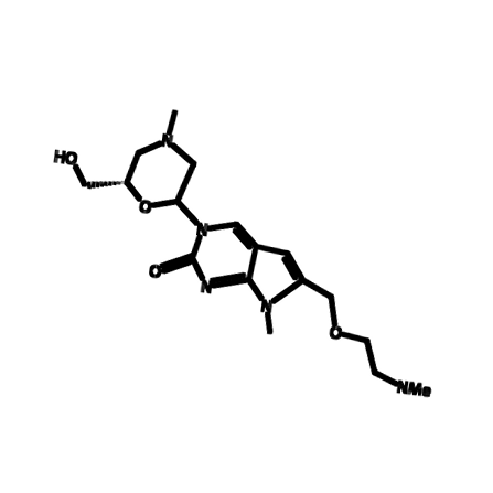 CNCCOCc1cc2cn(C3CN(C)C[C@@H](CO)O3)c(=O)nc2n1C